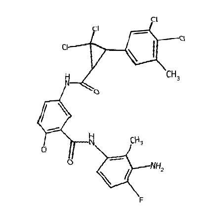 Cc1cc(C2C(C(=O)Nc3ccc(Cl)c(C(=O)Nc4ccc(F)c(N)c4C)c3)C2(Cl)Cl)cc(Cl)c1Cl